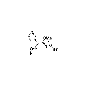 COC(=N\OC(C)C)/C(=N/OC(C)C)n1cncn1